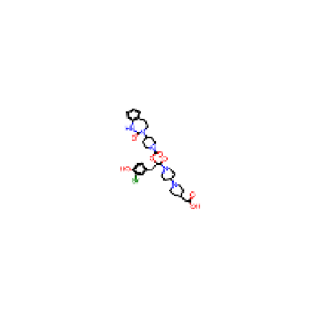 O=C(O)CC1CCN(C2CCN(C(=O)[C@@H](Cc3ccc(O)c(Br)c3)OC(=O)N3CCC(N4CCc5ccccc5NC4=O)CC3)CC2)CC1